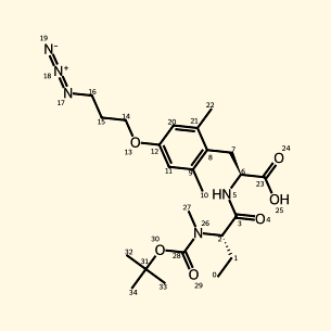 CC[C@@H](C(=O)N[C@@H](Cc1c(C)cc(OCCCN=[N+]=[N-])cc1C)C(=O)O)N(C)C(=O)OC(C)(C)C